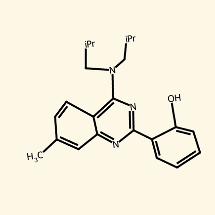 Cc1ccc2c(N(CC(C)C)CC(C)C)nc(-c3ccccc3O)nc2c1